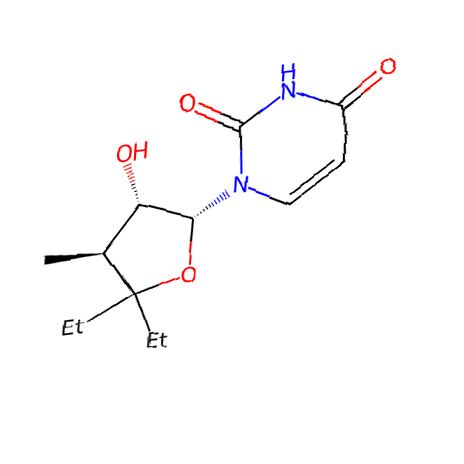 CCC1(CC)O[C@@H](n2ccc(=O)[nH]c2=O)[C@@H](O)[C@@H]1C